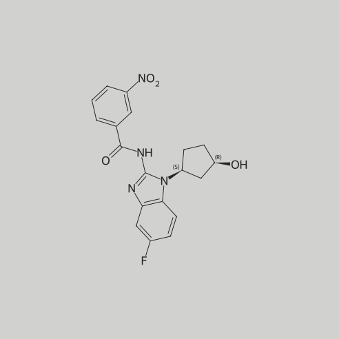 O=C(Nc1nc2cc(F)ccc2n1[C@H]1CC[C@@H](O)C1)c1cccc([N+](=O)[O-])c1